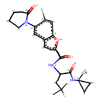 CC(C)(F)CC(NC(=O)c1cc2cc(N3CCCC3=O)c(F)cc2o1)C(=O)NC1(C#N)CC1